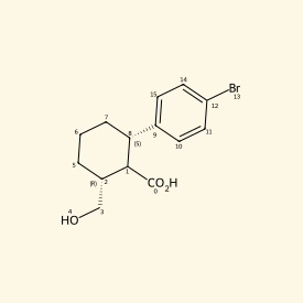 O=C(O)C1[C@H](CO)CCC[C@@H]1c1ccc(Br)cc1